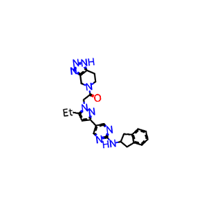 CCc1cc(-c2cnc(NC3Cc4ccccc4C3)nc2)nn1CC(=O)N1CCc2[nH]nnc2C1